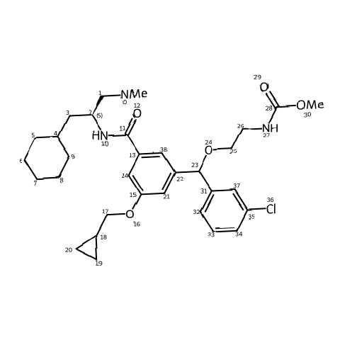 CNC[C@H](CC1CCCCC1)NC(=O)c1cc(OCC2CC2)cc(C(OCCNC(=O)OC)c2cccc(Cl)c2)c1